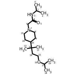 CC(C)NC(=O)CN1CCC(C(C)(C)CCOC(C)C)CC1